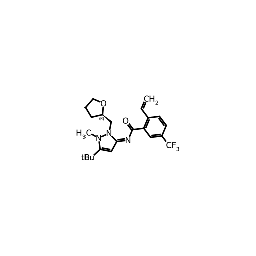 C=Cc1ccc(C(F)(F)F)cc1C(=O)N=c1cc(C(C)(C)C)n(C)n1C[C@H]1CCCO1